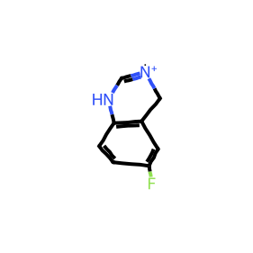 Fc1ccc2c(c1)C[N+]=CN2